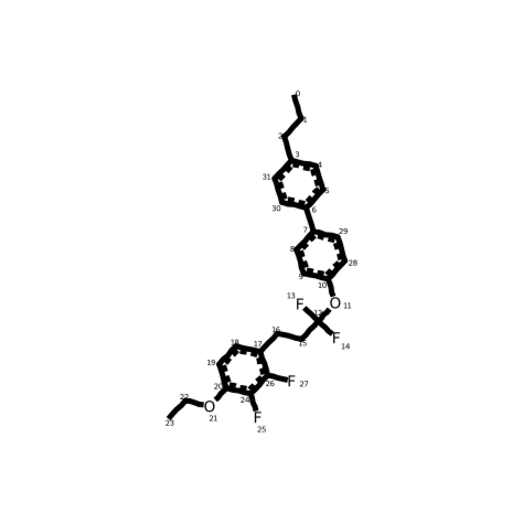 CCCc1ccc(-c2ccc(OC(F)(F)CCc3ccc(OCC)c(F)c3F)cc2)cc1